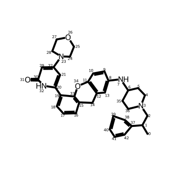 CC(CN1CCC(Nc2ccc3c(c2)Cc2cccc(-c4cc(N5CCOCC5)cc(=O)[nH]4)c2O3)CC1)c1ccccc1